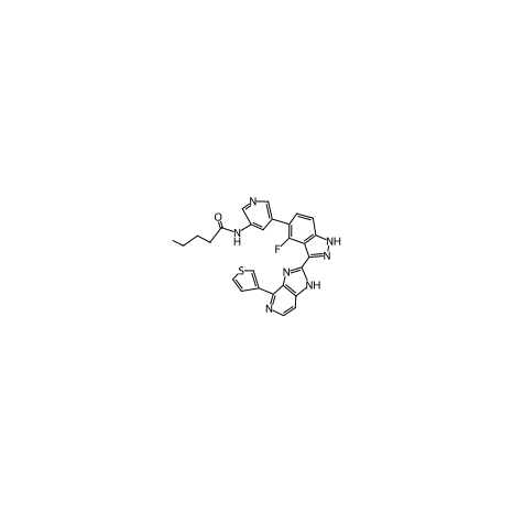 CCCCC(=O)Nc1cncc(-c2ccc3[nH]nc(-c4nc5c(-c6ccsc6)nccc5[nH]4)c3c2F)c1